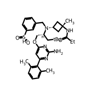 CCC(=O)N[C@]1(C)C[C@H](N(Cc2cccc([SH](=O)=O)c2)[C@@H](COc2cc(-c3c(C)cccc3C)nc(N)n2)CC(C)(C)C)C1